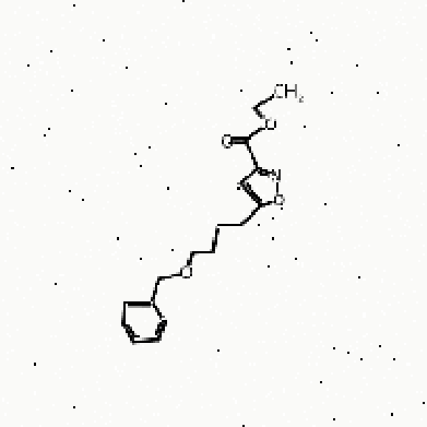 CCOC(=O)c1cc(CCCCOCc2ccccc2)on1